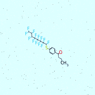 CCCC(=O)c1ccc(SC(F)C(F)(F)C(F)(F)C(F)(F)C(F)(F)C(F)C(F)C(F)F)cc1